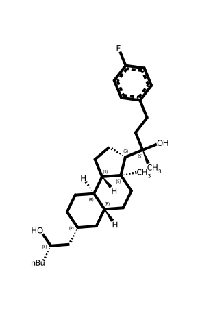 CCCC[C@H](O)C[C@@H]1CC[C@@H]2[C@H](CC[C@@]3(C)[C@H]2CC[C@@H]3[C@@](C)(O)CCc2ccc(F)cc2)C1